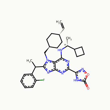 C=C[C@H]1CC[C@H](Cn2c(C(C)c3ccccc3F)nc3nc(-c4noc(=O)[nH]4)nc(N[C@H](C)C4CCC4)c32)CC1